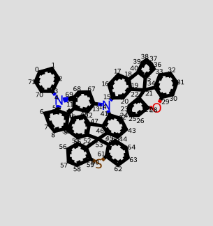 c1ccc(-n2c3ccccc3c3cc(N(c4ccc5c(c4)C4(c6ccccc6Oc6ccccc64)c4ccccc4-5)c4cccc5c4-c4ccccc4C54c5ccccc5Sc5ccccc54)ccc32)cc1